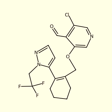 O=Cc1c(Cl)cncc1OCC1=C(c2ccnn2CC(F)(F)F)CCCC1